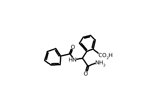 NC(=O)C(NC(=O)c1ccccc1)c1ccccc1C(=O)O